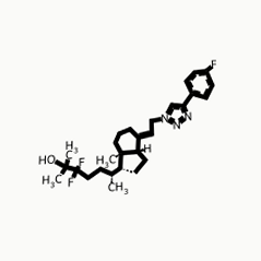 C[C@H](CCC(F)(F)C(C)(C)O)[C@H]1CC[C@H]2/C(=C/Cn3cc(-c4ccc(F)cc4)nn3)CCC[C@]12C